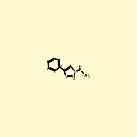 BBn1cc(-c2ccccc2)nn1